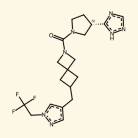 O=C(N1CC[C@H](c2ncn[nH]2)C1)N1CC2(CC(Cc3cnn(CC(F)(F)F)c3)C2)C1